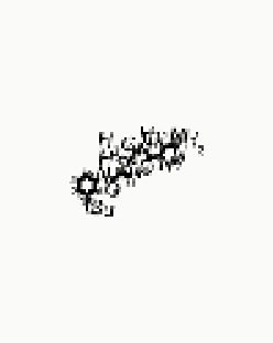 CC(NC(=O)c1ncnc(N)c1Cl)c1ncc(C(=O)Nc2cccc(C(C)(C)C)c2)s1